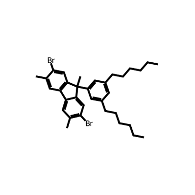 CCCCCCc1cc(CCCCCC)cc(C2(C)c3cc(Br)c(C)cc3-c3cc(C)c(Br)cc32)c1